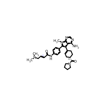 CN(C)C/C=C/C(=O)Nc1ccc(-c2c(C3=CC[C@@H](C(=O)N4CCCC4)CC3)c3c(N)ncnc3n2C)cc1